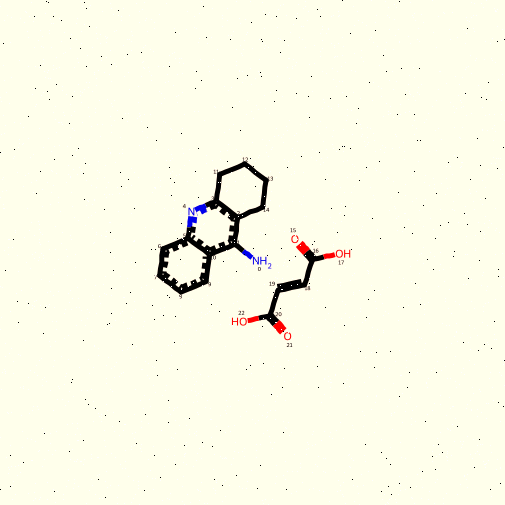 Nc1c2c(nc3ccccc13)CCCC2.O=C(O)/C=C/C(=O)O